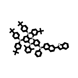 Cc1cccc(C)c1N1c2cc(N(c3ccccc3)c3ccc4cc(-c5cc6ccccc6o5)ccc4c3)ccc2B2c3cc(C(C)(C)C)ccc3N(c3ccc(C(C)(C)C)cc3)c3cc(N(c4ccc(C(C)(C)C)cc4)c4ccc(C(C)(C)C)cc4)cc1c32